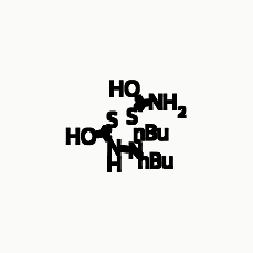 CCCCN(CCCC)NC(O)=S.NC(O)=S